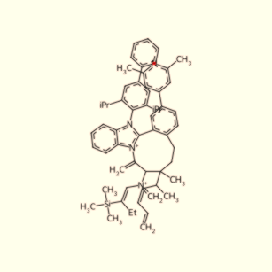 C=C/C=C\C(C)C1(C)CCc2ccc(-c3cc(C)nc(C)c3)cc2-c2n(-c3c(C(C)C)cc(-c4ccccc4)cc3C(C)C)c3ccccc3[n+]2C(=C)C1[N+](=C)/C=C(\CC)[Si](C)(C)C